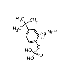 CC(C)(C)c1ccc(OP(=O)(O)O)cc1.[NaH].[NaH]